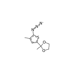 Cc1cc(C2(C)OCCO2)sc1N=[N+]=[N-]